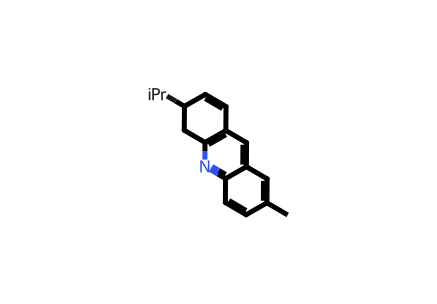 Cc1ccc2nc3c(cc2c1)C=CC(C(C)C)C3